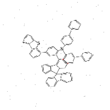 c1ccc(-c2ccc(N(c3cccc(-c4ccccc4)c3)c3ccc(-c4cccc5c4sc4ccccc45)cc3-c3cccc4c3-c3ccccc3C43c4ccccc4-c4ccccc43)cc2)cc1